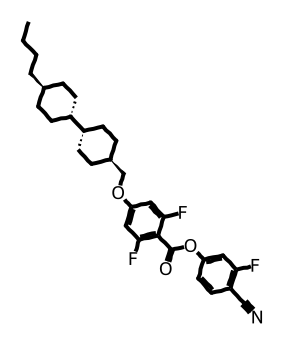 CCCC[C@H]1CC[C@H]([C@H]2CC[C@H](COc3cc(F)c(C(=O)Oc4ccc(C#N)c(F)c4)c(F)c3)CC2)CC1